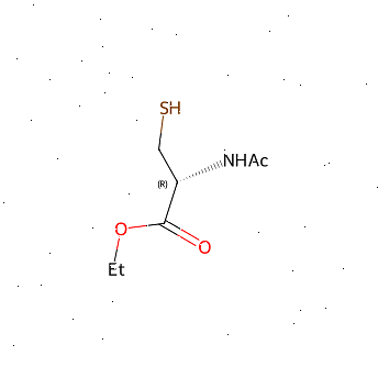 CCOC(=O)[C@H](CS)NC(C)=O